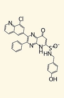 O=c1cc([S+]([O-])NCc2ccc(O)cc2)[nH]c2nc(-c3ccccc3)c(-c3cc(Cl)c4ncccc4c3)nc12